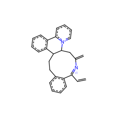 C=C/C1=N/C(=C)CC2C(CCc3ccccc31)c1ccccc1-c1cccc[n+]12